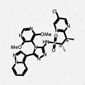 COc1ncnc(OC)c1-n1c(NS(=O)(=O)[C@@H](C)[C@H](C)c2ncc(Cl)cn2)nnc1-c1cnn2ccccc12